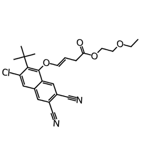 CCOCCOC(=O)C/C=C/Oc1c(C(C)(C)C)c(Cl)cc2cc(C#N)c(C#N)cc12